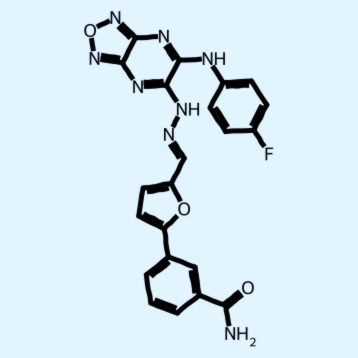 NC(=O)c1cccc(-c2ccc(C=NNc3nc4nonc4nc3Nc3ccc(F)cc3)o2)c1